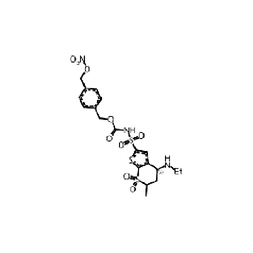 CCN[C@H]1CC(C)S(=O)(=O)c2sc(S(=O)(=O)NC(=O)OCc3ccc(CO[N+](=O)[O-])cc3)cc21